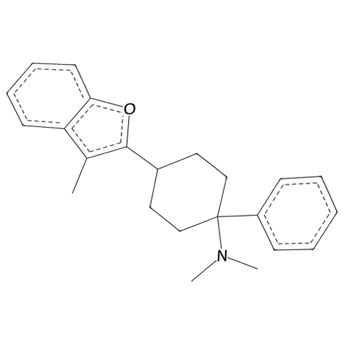 Cc1c(C2CCC(c3ccccc3)(N(C)C)CC2)oc2ccccc12